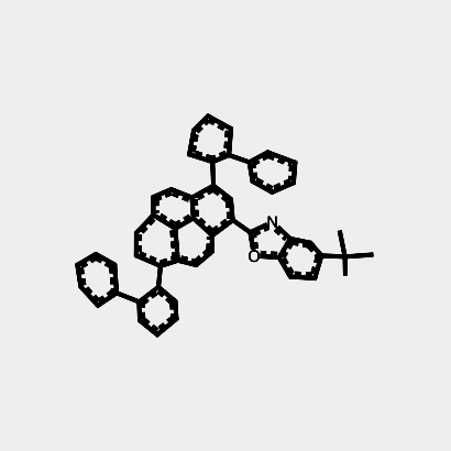 CC(C)(C)c1ccc2oc(-c3cc(-c4ccccc4-c4ccccc4)c4ccc5ccc(-c6ccccc6-c6ccccc6)c6ccc3c4c56)nc2c1